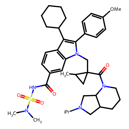 COc1ccc(-c2c(C3CCCCC3)c3ccc(C(=O)NS(=O)(=O)N(C)C)cc3n2CC2(C(=O)N3CCCC4CN(C(C)C)CC43)CC2C)cc1